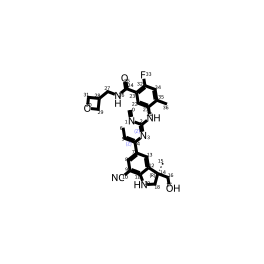 C=N/C(=N\C(=C/C)c1cc(C#N)c2c(c1)[C@@](C)(CO)CN2)Nc1cc(C(=O)NCC2COC2)c(F)cc1C